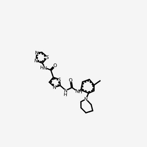 Cc1ccc(NC(=O)Nc2ncc(C(=O)Nc3nncs3)s2)c(N2CCCCC2)c1